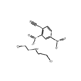 ClCCNCCCl.N#Cc1ccc([N+](=O)[O-])cc1[N+](=O)[O-]